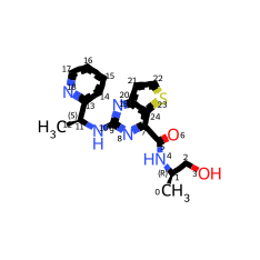 C[C@H](CO)NC(=O)c1nc(N[C@@H](C)c2ccccn2)nc2ccsc12